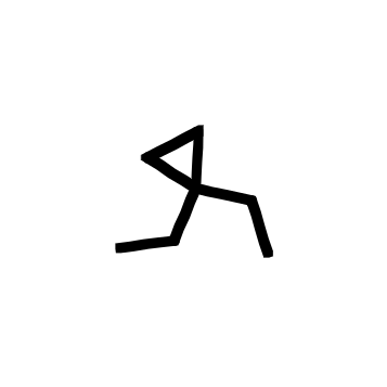 CCC1(CC)CC1